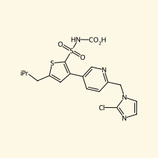 CC(C)Cc1cc(-c2ccc(Cn3ccnc3Cl)nc2)c(S(=O)(=O)NC(=O)O)s1